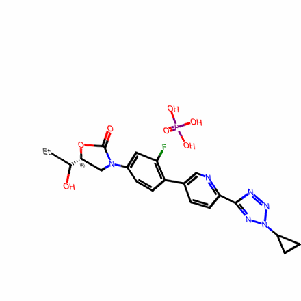 CCC(O)[C@H]1CN(c2ccc(-c3ccc(-c4nnn(C5CC5)n4)nc3)c(F)c2)C(=O)O1.O=P(O)(O)O